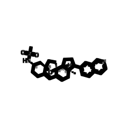 C[C@]12CC=C3C=C4CC[C@H](NS(C)(=O)=O)C[C@]45CC[C@]3(O5)[C@@H]1CCC2c1ccc2ccncc2c1